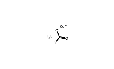 O.O=C([O-])[O-].[Cd+2]